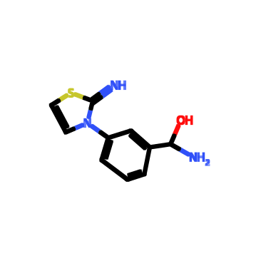 N=c1sccn1-c1cccc(C(N)O)c1